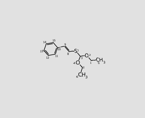 CCOC(OCC)S/C=C/c1ccccc1